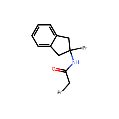 CC(C)CC(=O)NC1(C(C)C)Cc2ccccc2C1